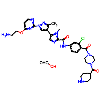 Cn1c(-c2cn(-c3nccc(OCCN)n3)nc2C(F)(F)F)cnc1C(=O)Nc1ccc(C(=O)N2CCN(C(=O)C3CCNCC3)CC2)c(Cl)c1.O=CO